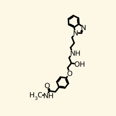 CNC(=O)Cc1ccc(OCC(O)CNCCCn2cnc3ccccc32)cc1